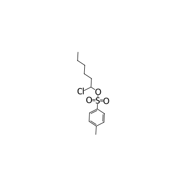 CCCCCC(Cl)OS(=O)(=O)c1ccc(C)cc1